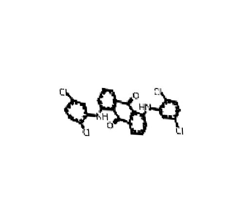 O=C1c2cccc(Nc3cc(Cl)ccc3Cl)c2C(=O)c2cccc(Nc3cc(Cl)ccc3Cl)c21